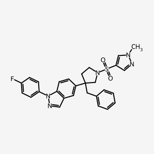 Cn1cc(S(=O)(=O)N2CCC(Cc3ccccc3)(c3ccc4c(cnn4-c4ccc(F)cc4)c3)C2)cn1